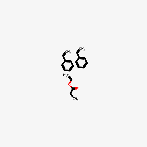 C=COC(=O)CC.C=Cc1ccccc1.C=Cc1ccccc1